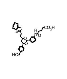 O=C(O)CCCC(=O)Nc1cccc([C@@H]2O[C@H](CSc3nc4ccccc4s3)C[C@H](c3ccc(CO)cc3)O2)c1